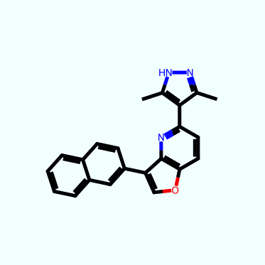 Cc1n[nH]c(C)c1-c1ccc2occ(-c3ccc4ccccc4c3)c2n1